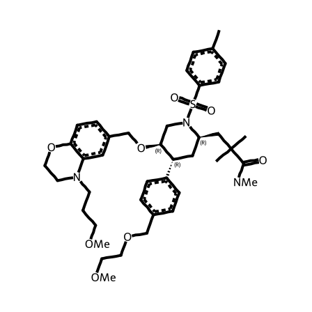 CNC(=O)C(C)(C)C[C@H]1C[C@H](c2ccc(COCCOC)cc2)[C@@H](OCc2ccc3c(c2)N(CCCOC)CCO3)CN1S(=O)(=O)c1ccc(C)cc1